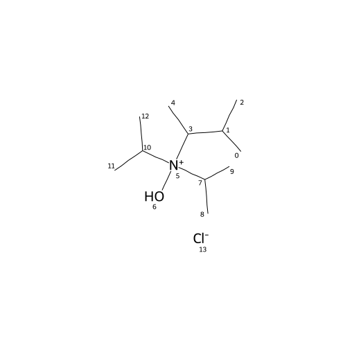 CC(C)C(C)[N+](O)(C(C)C)C(C)C.[Cl-]